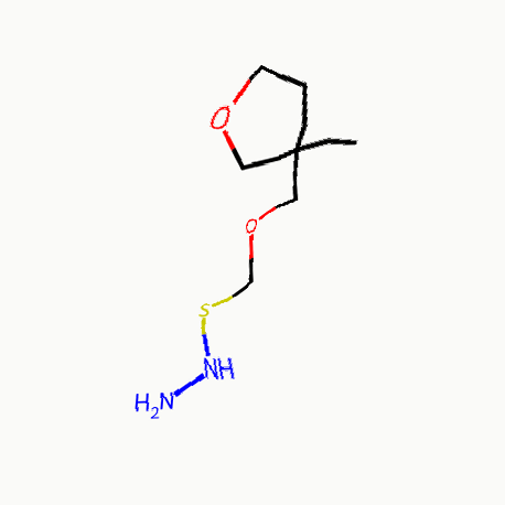 CC1(COCSNN)CCOC1